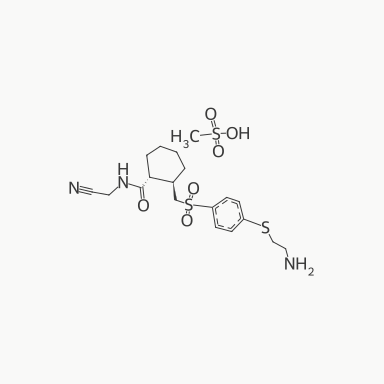 CS(=O)(=O)O.N#CCNC(=O)[C@@H]1CCCC[C@H]1CS(=O)(=O)c1ccc(SCCN)cc1